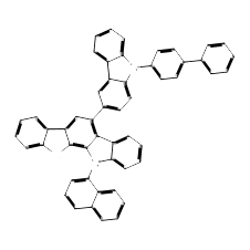 c1ccc(-c2ccc(-n3c4ccccc4c4cc(-c5cc6c7ccccc7sc6c6c5c5ccccc5n6-c5cccc6ccccc56)ccc43)cc2)cc1